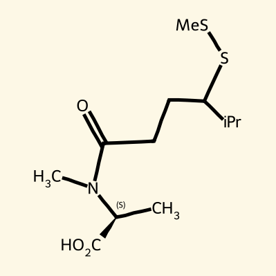 CSSC(CCC(=O)N(C)[C@@H](C)C(=O)O)C(C)C